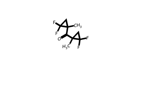 CC1(C(=O)C2(C)CC2(F)F)CC1(F)F